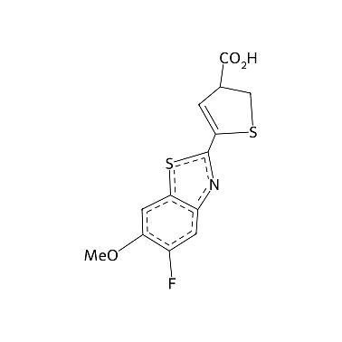 COc1cc2sc(C3=CC(C(=O)O)CS3)nc2cc1F